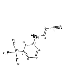 N#C/C=[C]/Nc1cccc(C(F)(F)F)c1